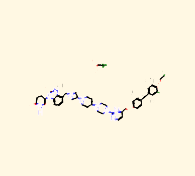 Cn1c(=O)n(C2CCC(=O)NC2=O)c2cccc(CN3CC(N4CCC(N5CCN(c6nccc(COc7ccc(C(C)(C)c8cc(Cl)c(OCCCl)c(C#N)c8)cc7)n6)CC5)CC4)C3)c21.O=C(O)C(F)(F)F